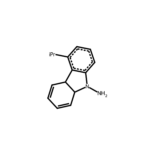 CC(C)c1cccc2c1C1C=CC=CC1N2N